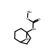 CC(C)(C)OC(=O)NC12CCCC(CC1)N2